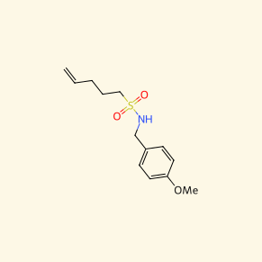 C=CCCCS(=O)(=O)NCc1ccc(OC)cc1